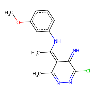 COc1cccc(N/C(C)=C2\C(=N)C(Cl)=NN=C2C)c1